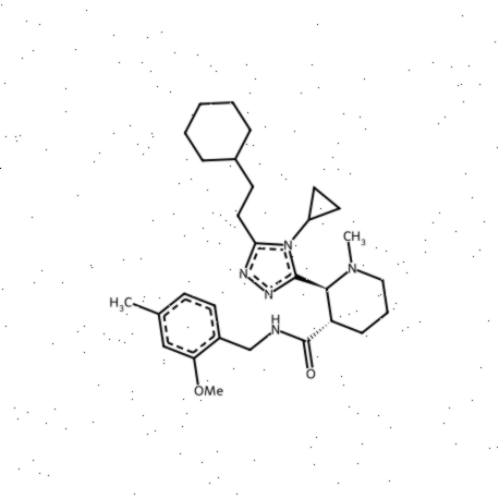 COc1cc(C)ccc1CNC(=O)[C@H]1CCCN(C)[C@@H]1c1nnc(CCC2CCCCC2)n1C1CC1